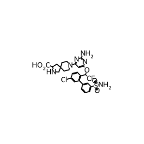 Nc1nc(O[C@H](c2ccc(Cl)cc2-c2cccc(S(N)(=O)=O)c2)C(F)(F)F)cc(N2CCC3(CC2)CNC(C(=O)O)C3)n1